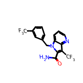 NC(=O)c1c(C(F)(F)F)c2ncccc2n1Cc1cccc(C(F)(F)F)c1